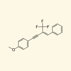 COc1ccc(C#CC(=Cc2ccccc2)C(F)(F)F)cc1